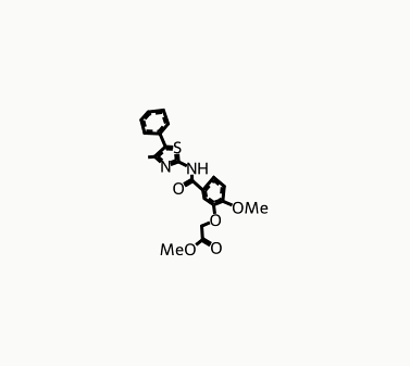 COC(=O)COc1cc(C(=O)Nc2nc(C)c(-c3ccccc3)s2)ccc1OC